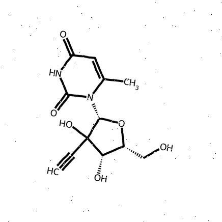 C#CC1(O)[C@@H](O)[C@@H](CO)O[C@H]1n1c(C)cc(=O)[nH]c1=O